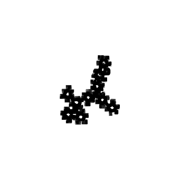 c1ccc(-c2ccc(N(c3ccc(-c4cc(-c5ccccc5)cc(-n5c6ccccc6c6ccccc65)c4)cc3)c3ccc(-c4ccc5c(c4)oc4ccccc45)cc3)cc2)cc1